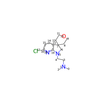 CN(C)CCN1CC2(CCOCC2)c2ccc(Cl)nc21